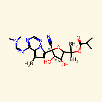 Bc1cc([C@]2(C#N)OC(C(B)(B)OC(=O)C(C)C)[C@@H](O)[C@H]2O)n2ncnc(/N=C\N(C)C)c12